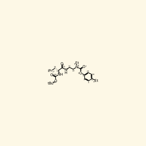 CCc1ccc(OC(=O)N(CC)CCNC(=O)[C@@H](CC(C)C)NC(=O)OC(C)(C)C)cc1